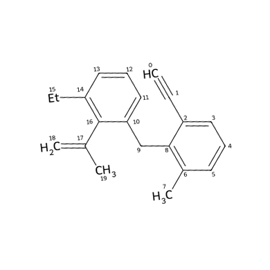 C#Cc1cccc(C)c1Cc1cccc(CC)c1C(=C)C